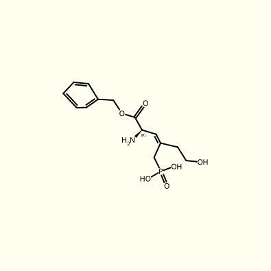 N[C@H](C=C(CCO)CP(=O)(O)O)C(=O)OCc1ccccc1